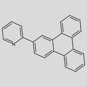 c1ccc(-c2ccc3c4ccccc4c4ccccc4c3c2)nc1